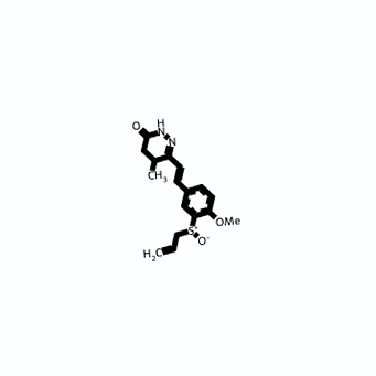 C=CC[S+]([O-])c1cc(C=CC2=NNC(=O)CC2C)ccc1OC